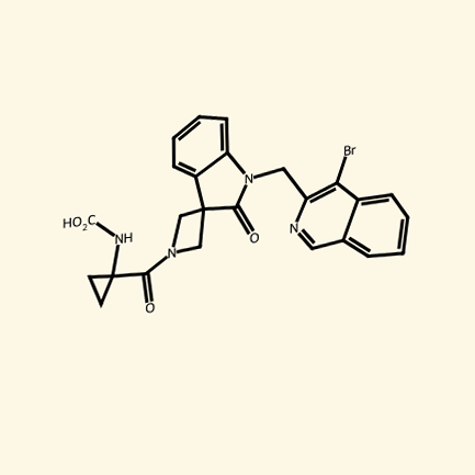 O=C(O)NC1(C(=O)N2CC3(C2)C(=O)N(Cc2ncc4ccccc4c2Br)c2ccccc23)CC1